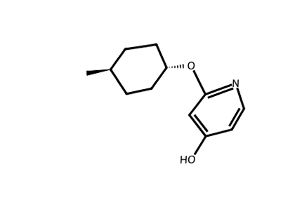 C[C@H]1CC[C@H](Oc2cc(O)ccn2)CC1